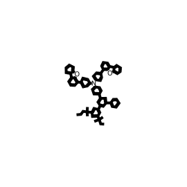 CCCC(C)(C)c1cc(-c2cc(-c3ccccc3)cc(-c3ccc(N(c4ccc(-c5cccc6c5oc5ccccc56)cc4)c4ccc(-c5cccc6c5oc5ccccc56)cc4)cc3)c2)cc(C(C)(C)CC)c1